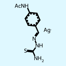 CC(=O)Nc1ccc(C=NNC(N)=S)cc1.[Ag]